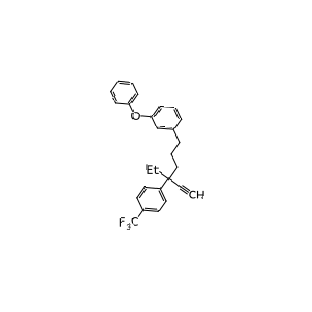 C#CC(CC)(CCCc1cccc(Oc2ccccc2)c1)c1ccc(C(F)(F)F)cc1